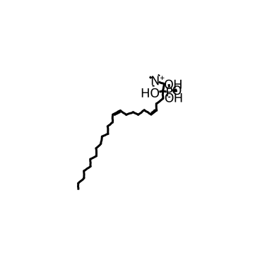 CCCCCCCCCCCCC/C=C\CCCC/C=C\CCC(O)(C[N+](C)(C)C)P(=O)(O)O